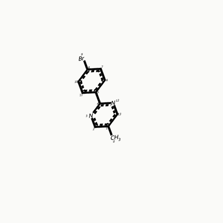 Cc1cnc(-c2ccc(Br)cc2)nc1